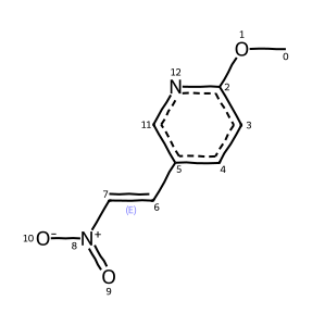 COc1ccc(/C=C/[N+](=O)[O-])cn1